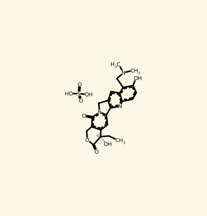 CC[C@@]1(O)C(=O)OCc2c1cc1n(c2=O)Cc2cc3c(CN(C)C)c(O)ccc3nc2-1.O=S(=O)(O)O